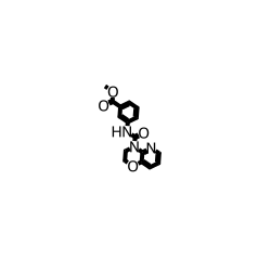 COC(=O)c1cccc(NC(=O)N2CCOc3cccnc32)c1